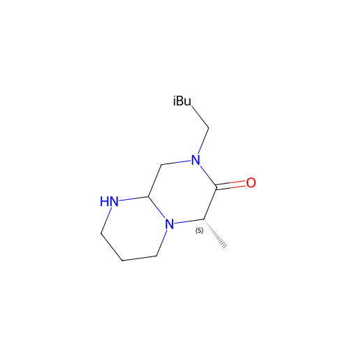 CCC(C)CN1CC2NCCCN2[C@@H](C)C1=O